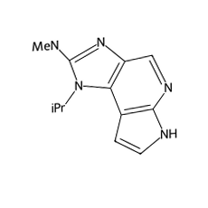 CNc1nc2cnc3[nH]ccc3c2n1C(C)C